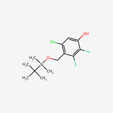 CC(C)(C)[Si](C)(C)OCc1c(Cl)cc(O)c(F)c1F